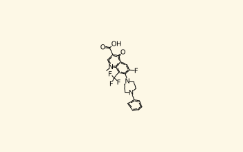 Cn1cc(C(=O)O)c(=O)c2cc(F)c(N3CCN(c4ccccc4)CC3)c(C(F)(F)F)c21